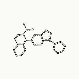 O=[N+]([O-])c1ccc2ccccc2c1-c1ccc2c(ccn2-c2ccccc2)c1